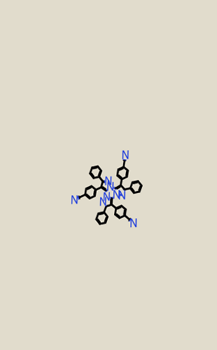 N#Cc1ccc(-c2c(-c3ccccc3)nn3c2n2nc(-c4ccccc4)c(-c4ccc(C#N)cc4)c2n2nc(-c4ccccc4)c(-c4ccc(C#N)cc4)c32)cc1